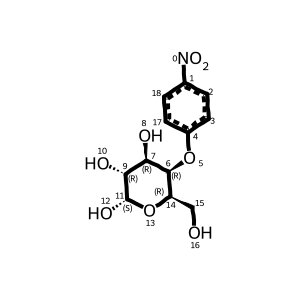 O=[N+]([O-])c1ccc(O[C@@H]2[C@H](O)[C@@H](O)[C@@H](O)O[C@@H]2CO)cc1